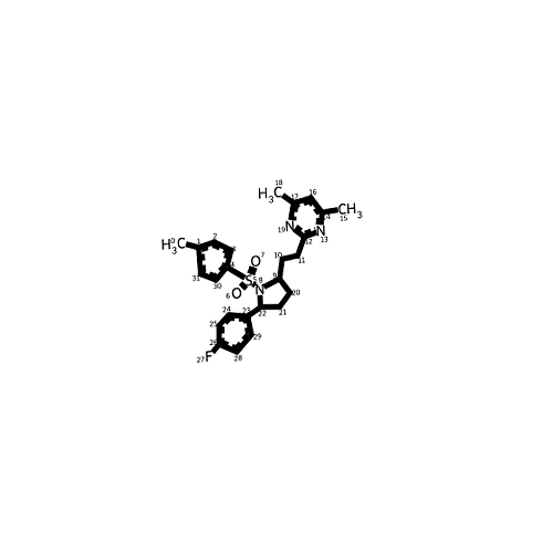 Cc1ccc(S(=O)(=O)N2C(CCc3nc(C)cc(C)n3)CCC2c2ccc(F)cc2)cc1